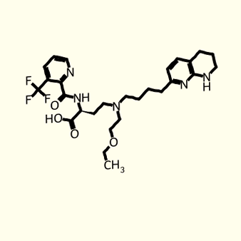 CCOCCN(CCCCc1ccc2c(n1)NCCC2)CC[C@H](NC(=O)c1ncccc1C(F)(F)F)C(=O)O